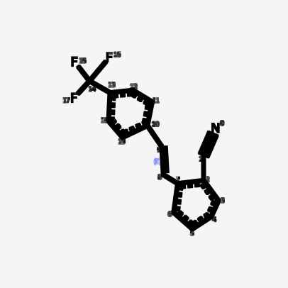 N#Cc1ccccc1/C=C/c1ccc(C(F)(F)F)cc1